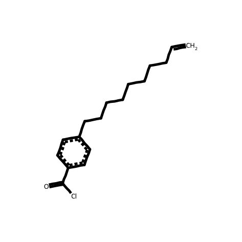 C=CCCCCCCCCc1ccc(C(=O)Cl)cc1